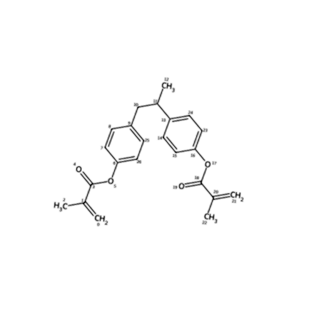 C=C(C)C(=O)Oc1ccc(CC(C)c2ccc(OC(=O)C(=C)C)cc2)cc1